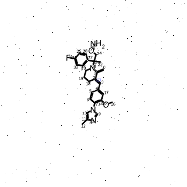 C=C1/C(=C/c2ccc(-n3cnc(C)c3)c(OC)c2)CCCN1C(C)(CON)c1ccc(F)cc1